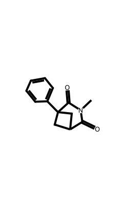 CN1C(=O)C2CC(c3ccccc3)(C2)C1=O